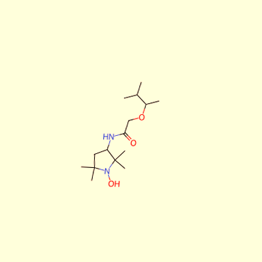 CC(C)C(C)OCC(=O)NC1CC(C)(C)N(O)C1(C)C